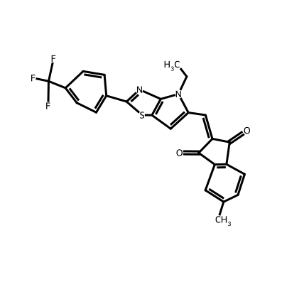 CCn1c(/C=C2/C(=O)c3ccc(C)cc3C2=O)cc2sc(-c3ccc(C(F)(F)F)cc3)nc21